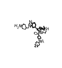 CN1CCC(Nc2ccc(C(=O)Nc3cc(-c4ccc5ncn(CC6CCC(N)CC6)c5c4)n[nH]3)cc2)CC1